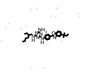 CCCCC(CC)CNc1nc(N)nc(Nc2ccc(-c3nc4cc(C(C)(C)CC)ccc4o3)cc2)n1